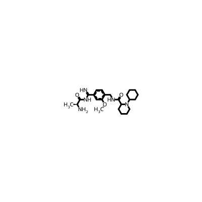 COc1cc(C(=N)NC(=O)[C@H](C)N)ccc1CNC(=O)C1CCCCN1C1CCCCC1